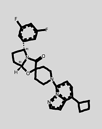 O=C1N2[C@@H](c3cc(F)cc(F)c3)CC[C@H]2OC12CCN(c1ccc(C3CCC3)c3ccnn13)CC2